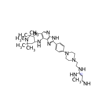 CN/C(=C\C=N)NCCN1CCN(c2ccc(-c3nc4c(NC5CC(C)(C)N(C)C(C)(C)C5)c(Br)cnc4[nH]3)cc2)CC1